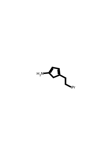 CC(C)CCC1=CC=C(N)C1